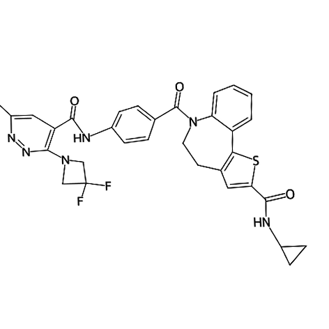 Cc1cc(C(=O)Nc2ccc(C(=O)N3CCc4cc(C(=O)NC5CC5)sc4-c4ccccc43)cc2)c(N2CC(F)(F)C2)nn1